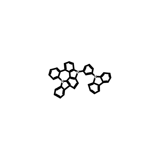 c1cc(-n2c3ccccc3c3ccccc32)cc(-n2c3cccc4c5ccccc5n5c6ccccc6c6ccc2c(c43)c65)c1